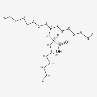 CCCCCCCCC(CCCCCCC)CC(C)(CCCCCCC)C(=O)O